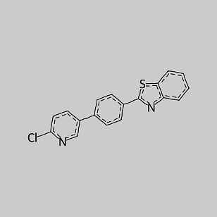 Clc1ccc(-c2ccc(-c3nc4ccccc4s3)cc2)cn1